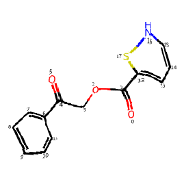 O=C(OCC(=O)c1ccccc1)C1=CC=CNS1